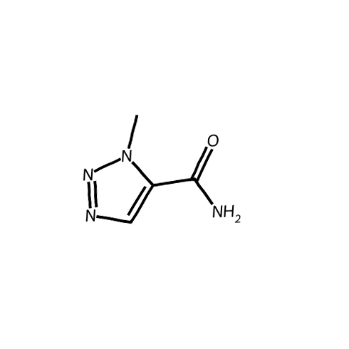 Cn1nncc1C(N)=O